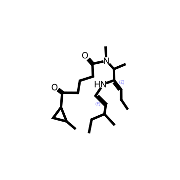 CC/C=C(\N/C=C/C(C)CC)C(C)N(C)C(=O)CCCC(=O)C1CC1C